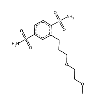 COCCOCCCc1cc(S(N)(=O)=O)ccc1S(N)(=O)=O